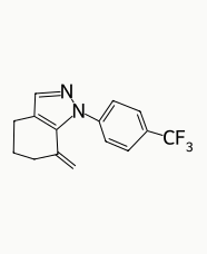 C=C1CCCc2cnn(-c3ccc(C(F)(F)F)cc3)c21